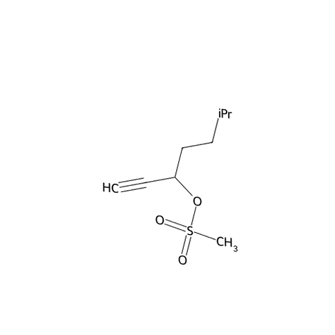 C#CC(CCC(C)C)OS(C)(=O)=O